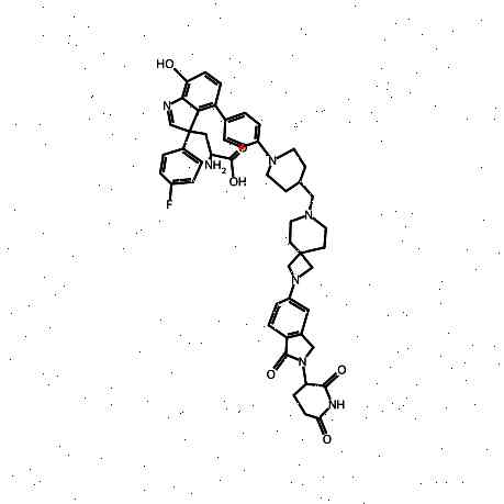 N[C@@H](CC1(c2ccc(F)cc2)C=Nc2c(O)ccc(-c3ccc(N4CCC(CN5CCC6(CC5)CN(c5ccc7c(c5)CN(C5CCC(=O)NC5=O)C7=O)C6)CC4)cc3)c21)C(=O)O